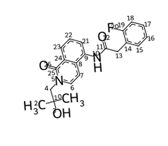 CC(C)(O)Cn1ccc2c(NC(=O)Cc3ccccc3F)cccc2c1=O